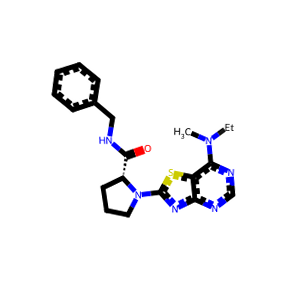 CCN(C)c1ncnc2nc(N3CCC[C@@H]3C(=O)NCc3ccccc3)sc12